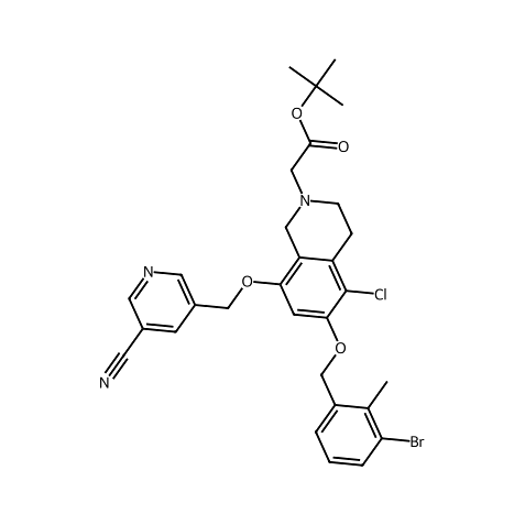 Cc1c(Br)cccc1COc1cc(OCc2cncc(C#N)c2)c2c(c1Cl)CCN(CC(=O)OC(C)(C)C)C2